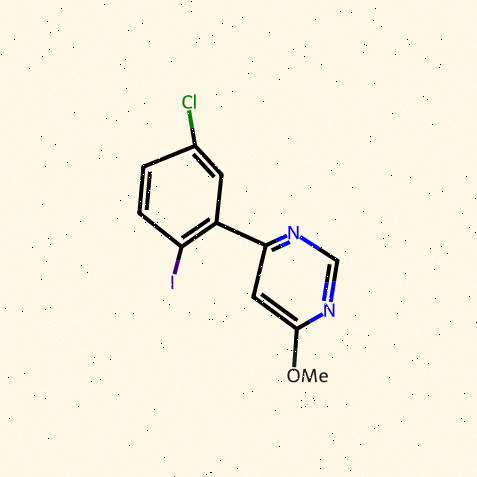 COc1cc(-c2cc(Cl)ccc2I)ncn1